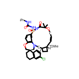 CO[C@H]1C=CCOC(C)(C)C(=O)N=[S@@](=O)(NC(=O)NC(C)C)c2ccc3c(c2)N(C[C@@H]2CC[C@H]21)C[C@@]1(CCCc2cc(Cl)ccc21)CO3